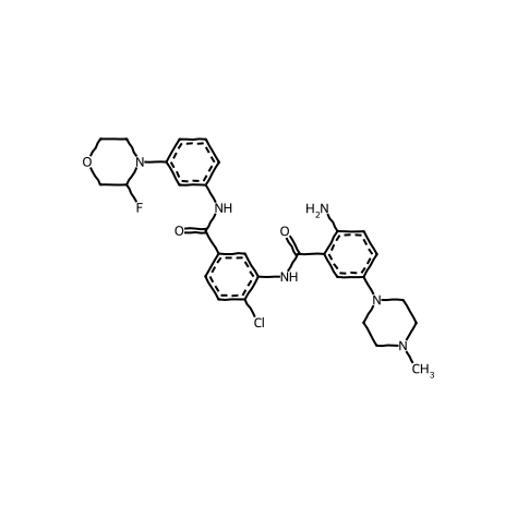 CN1CCN(c2ccc(N)c(C(=O)Nc3cc(C(=O)Nc4cccc(N5CCOCC5F)c4)ccc3Cl)c2)CC1